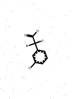 O=C(Cl)C(Cl)(Br)c1cccc(Cl)c1